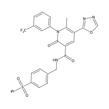 Cc1c(-c2nnco2)cc(C(=O)NCc2ccc(S(=O)(=O)C(C)C)cc2)c(=O)n1-c1cccc(C(F)(F)F)c1